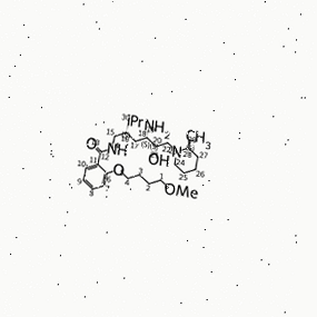 COCCCCOc1ccccc1C(=O)NC[C@@H](C[C@H](N)[C@@H](O)CN1CCCC[C@@H]1C)C(C)C